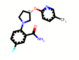 NC(=O)c1cc(F)ccc1N1CC[C@H](Oc2ccc(C(F)(F)F)cn2)C1